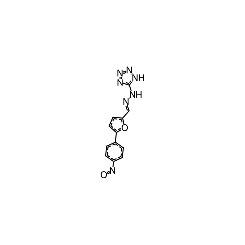 O=Nc1ccc(-c2ccc(/C=N/Nc3nnn[nH]3)o2)cc1